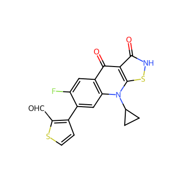 O=Cc1sccc1-c1cc2c(cc1F)c(=O)c1c(=O)[nH]sc1n2C1CC1